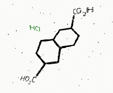 Cl.O=C(O)C1CCC2CC(C(=O)O)CCC2C1